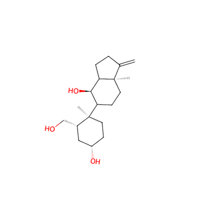 C=C1CCC2[C@H](O)C([C@@]3(C)CC[C@H](O)C[C@@H]3CO)CC[C@]12C